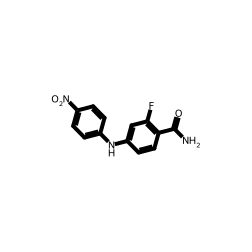 NC(=O)c1ccc(Nc2ccc([N+](=O)[O-])cc2)cc1F